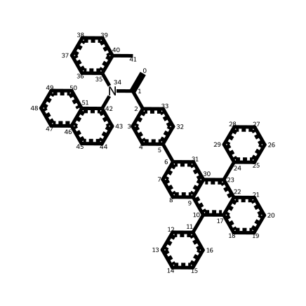 C=C(c1ccc(-c2ccc3c(-c4ccccc4)c4ccccc4c(-c4ccccc4)c3c2)cc1)N(c1ccccc1C)c1cccc2ccccc12